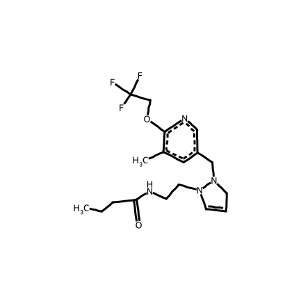 CCCC(=O)NCCN1C=CCN1Cc1cnc(OCC(F)(F)F)c(C)c1